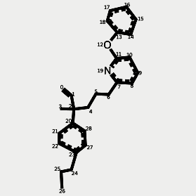 C=CC(C)(CCCc1cccc(Oc2ccccc2)n1)c1ccc(CCC)cc1